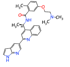 Cc1ccc(OCCN(C)C)cc1C(=O)N[C@H](C)c1cc(-c2cnc3[nH]ccc3c2)nc2ccccc12